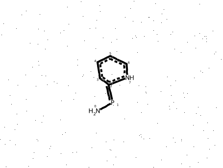 NP=c1cccc[nH]1